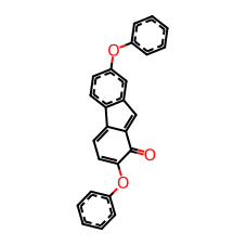 O=C1C(Oc2ccccc2)=CC=C2C1=Cc1cc(Oc3ccccc3)ccc12